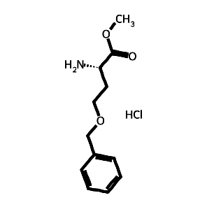 COC(=O)[C@@H](N)CCOCc1ccccc1.Cl